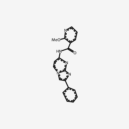 COc1ncccc1C(=O)Nc1ccn2cc(-c3ccccc3)nc2n1